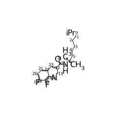 CC(C)CCCCCC(C)(C)NC(=O)c1cnc2c(F)c(F)ccc2c1